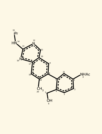 CC(=O)Nc1ccc(CO)c(-c2cc3cnc(NC(C)C)nc3cc2C)c1